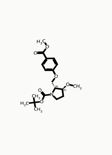 COC(=O)c1ccc(OC[C@@H]2[C@@H](OC)CCN2C(=O)OC(C)(C)C)cc1